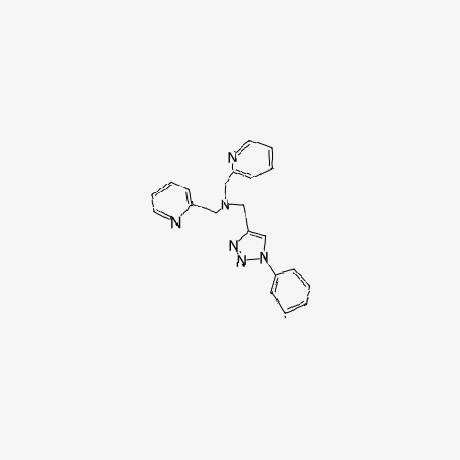 [c]1cccc(-n2cc(CN(Cc3ccccn3)Cc3ccccn3)nn2)c1